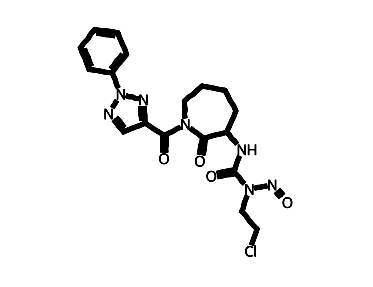 O=NN(CCCl)C(=O)NC1CCCCN(C(=O)c2cnn(-c3ccccc3)n2)C1=O